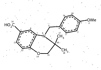 COc1ccc(CN2c3cc(C(=O)O)ccc3OCC2(C)C)cc1